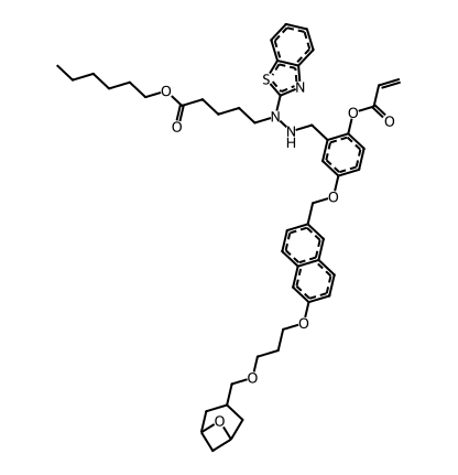 C=CC(=O)Oc1ccc(OCc2ccc3cc(OCCCOCC4CC5CC(C4)O5)ccc3c2)cc1CNN(CCCCC(=O)OCCCCCC)c1nc2ccccc2s1